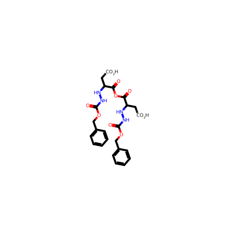 O=C(O)CC(NNC(=O)OCc1ccccc1)C(=O)OC(=O)C(CC(=O)O)NNC(=O)OCc1ccccc1